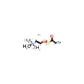 CCCC(=O)SOCC[N+](C)(C)C.[I-]